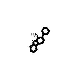 Nc1c(-c2ccccc2)ccc2c1sc1ccccc12